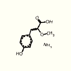 COC(=Cc1ccc(O)cc1)C(=O)O.N